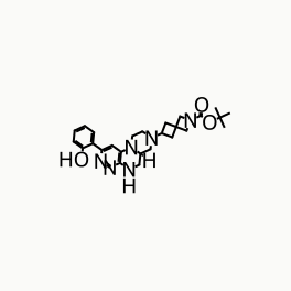 CC(C)(C)OC(=O)N1CC2(CC(N3CCN4c5cc(-c6ccccc6O)nnc5NC[C@H]4C3)C2)C1